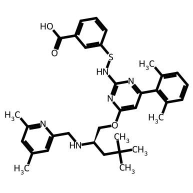 Cc1cc(C)nc(CN[C@@H](COc2cc(-c3c(C)cccc3C)nc(NSc3cccc(C(=O)O)c3)n2)CC(C)(C)C)c1